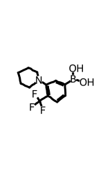 OB(O)c1ccc(C(F)(F)F)c(N2CCCCC2)c1